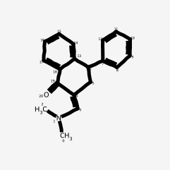 CN(C)/C=C1/CC(c2ccccc2)c2ccccc2C1=O